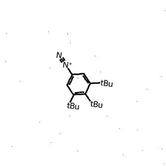 CC(C)(C)c1cc([N+]#N)cc(C(C)(C)C)c1C(C)(C)C